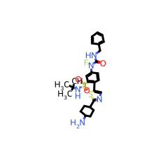 CC(C)(C)NS(=O)(=O)c1cc(N(F)C(=O)NCc2ccccc2)ccc1-c1cnc(C2CCC(N)CC2)s1